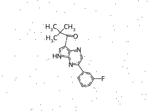 CC(C)(C)C(=O)c1c[nH]c2nc(-c3cccc(F)c3)cnc12